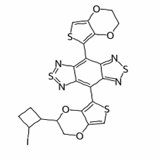 IC1CCC1C1COc2csc(-c3c4c(c(-c5scc6c5OCCO6)c5nsnc35)N=S=N4)c2O1